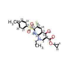 CCn1cc(C(=O)OC2CC2)c(=O)c2cc(F)c(S(=O)(=O)c3ccc(C)cc3)nc21